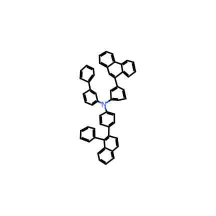 c1ccc(-c2cccc(N(c3ccc(-c4ccc5ccccc5c4-c4ccccc4)cc3)c3cccc(-c4cc5ccccc5c5ccccc45)c3)c2)cc1